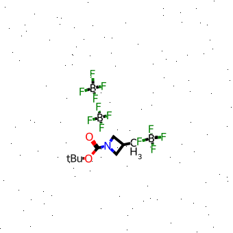 CC1CN(C(=O)OC(C)(C)C)C1.F[B-](F)(F)F.F[B-](F)(F)F.F[B-](F)(F)F